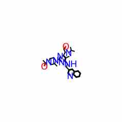 CC(=O)N1CCN(c2nc(NCc3cnc4ccccc4c3)c3c(n2)C(C=O)N(C(C)C)C3)C(C)C1